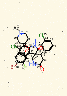 CC(=O)N1CCC(Oc2ccc(Br)c(F)c2[C@H]2NC(=O)CC([C@@H]3C=CC=C(Cl)C3)[C@]23C(=O)Nc2cc(Cl)ccc23)CC1